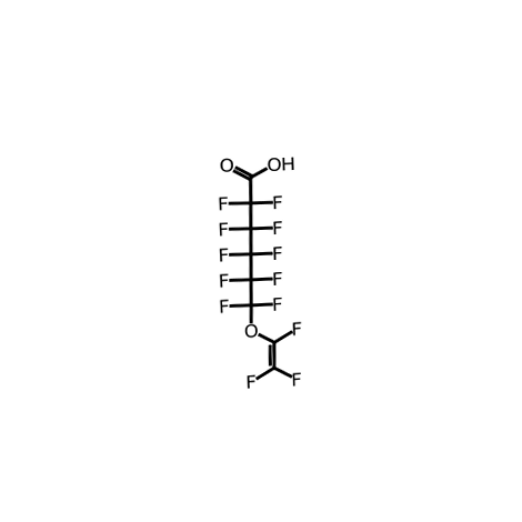 O=C(O)C(F)(F)C(F)(F)C(F)(F)C(F)(F)C(F)(F)OC(F)=C(F)F